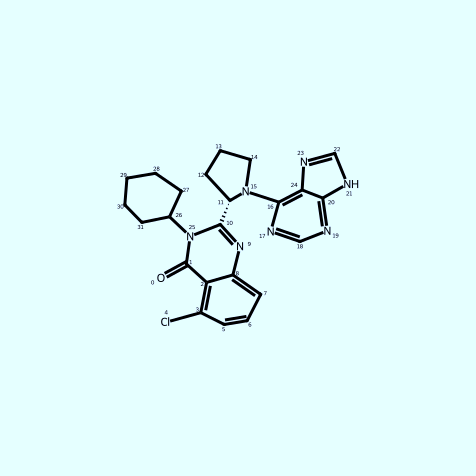 O=c1c2c(Cl)cccc2nc([C@@H]2CCCN2c2ncnc3[nH]cnc23)n1C1CCCCC1